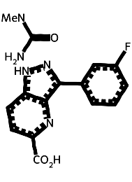 CNC(N)=O.O=C(O)c1ccc2[nH]nc(-c3cccc(F)c3)c2n1